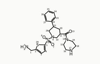 NCc1ccc(S(=O)(=O)N2CC(C(=O)N3CCNCC3)CC(c3ccccc3)C2)s1